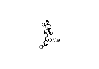 COc1ccc(Cl)cc1CCN1C(=O)c2ccc(Br)c(=O)n2CC1C